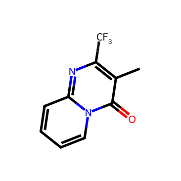 Cc1c(C(F)(F)F)nc2ccccn2c1=O